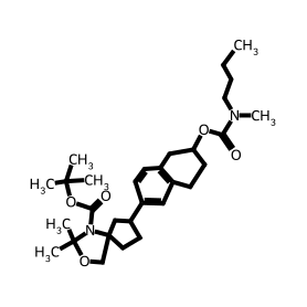 CCCCN(C)C(=O)OC1CCc2cc(C3CCC4(COC(C)(C)N4C(=O)OC(C)(C)C)C3)ccc2C1